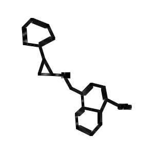 COc1ccc(CNC2CC2c2ccccc2)c2ccccc12